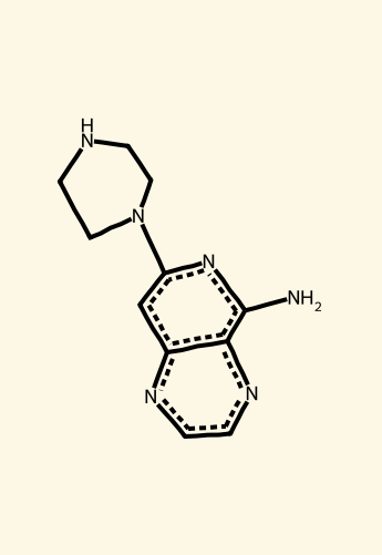 Nc1nc(N2CCNCC2)cc2nccnc12